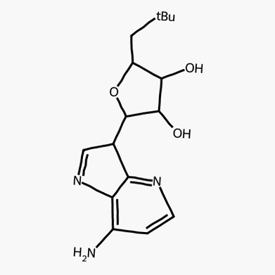 CC(C)(C)CC1OC(C2C=Nc3c(N)ccnc32)C(O)C1O